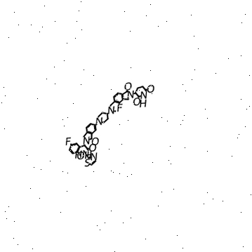 CN(Cc1ccc2c(c1F)CN(C1CCC(=O)NC1=O)C2=O)C1CCN(c2ccc3c(c2)C(=O)N(C(C(=O)Nc2nccs2)c2cc(F)ccc2O)C3)CC1